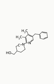 Cc1c(Cc2ccccc2)cnc(N2CCC(CO)CC2)c1C